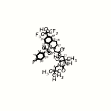 CC(C)(O)CN1C(=O)NC(C)(CNC(=O)C[C@@H]2CCc3cc(C(O)(C(F)(F)F)C(F)(F)F)ccc3N2S(=O)(=O)c2ccc(F)cc2)C1=O